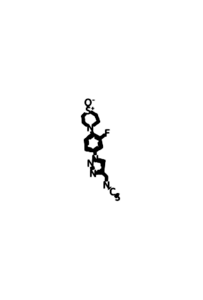 [O-][S+]1CCN(c2ccc(-n3cc(CN=C=S)nn3)cc2F)CC1